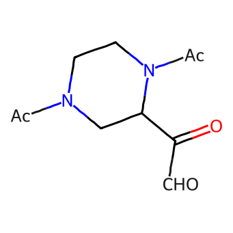 CC(=O)N1CCN(C(C)=O)C(C(=O)C=O)C1